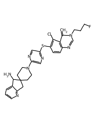 C=C1c2c(ccc(Sc3cnc(N4CCC5(CC4)Cc4ncccc4C5N)cn3)c2Cl)N=CN1CCCF